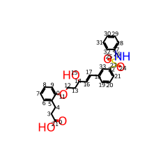 O=C(O)CCc1ccccc1OCC[C@@H](O)/C=C/c1cccc(S(=O)(=O)Nc2ccccc2)c1